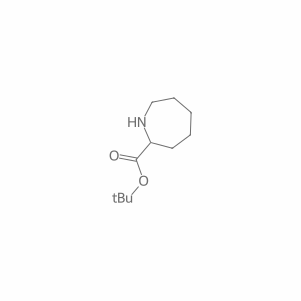 CC(C)(C)OC(=O)C1CCCCCN1